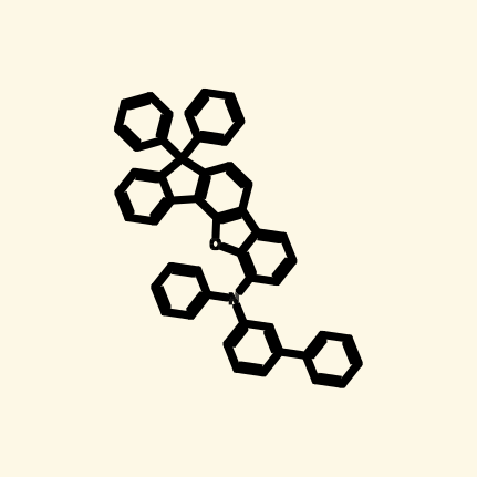 c1ccc(-c2cccc(N(c3ccccc3)c3cccc4c3oc3c5c(ccc34)C(c3ccccc3)(c3ccccc3)c3ccccc3-5)c2)cc1